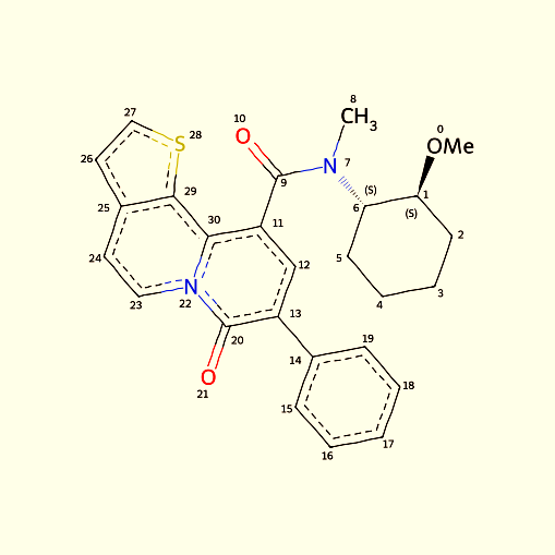 CO[C@H]1CCCC[C@@H]1N(C)C(=O)c1cc(-c2ccccc2)c(=O)n2ccc3ccsc3c12